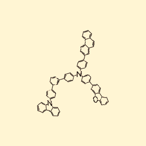 c1cc(-c2ccc(N(c3ccc(-c4ccc5c(ccc6ccccc65)c4)cc3)c3ccc(-c4ccc5c(c4)oc4ccccc45)cc3)cc2)cc(-c2ccc(-n3c4ccccc4c4ccccc43)cc2)c1